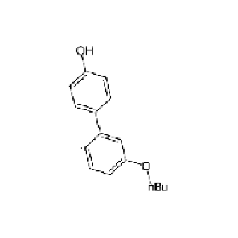 CCCCOc1cc[c]c(-c2ccc(O)cc2)c1